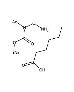 CC(=O)N(ON)C(=O)OC(C)(C)C.CCCCCC(=O)O